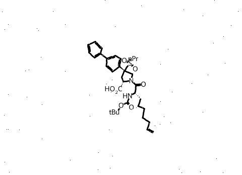 C=CCCCCC[C@H](NC(=O)OC(C)(C)C)C(=O)N1C[C@@](c2ccc(-c3ccccc3)cc2)(S(=O)(=O)CCC)C[C@H]1C(=O)O